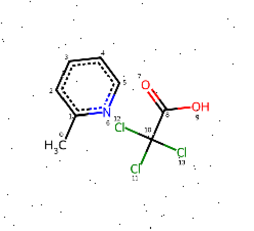 Cc1ccccn1.O=C(O)C(Cl)(Cl)Cl